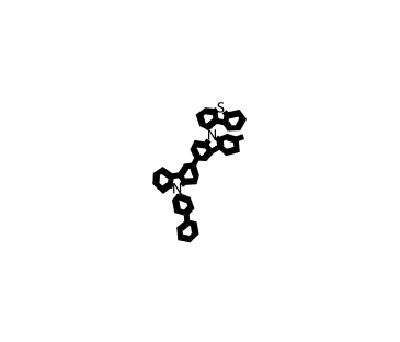 Cc1ccc2c3cc(-c4ccc5c(c4)c4ccccc4n5-c4ccc(-c5ccccc5)cc4)ccc3n(-c3cccc4sc5ccccc5c34)c2c1